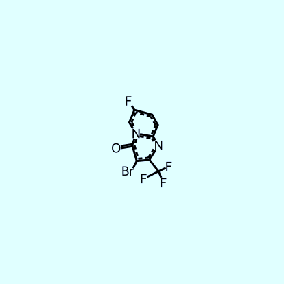 O=c1c(Br)c(C(F)(F)F)nc2ccc(F)cn12